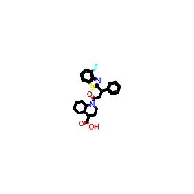 O=C(O)C1CCN(C(=O)CC(c2ccccc2)c2nc3c(F)cccc3s2)C2CCCCC12